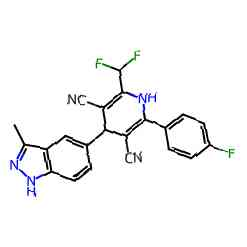 Cc1n[nH]c2ccc(C3C(C#N)=C(c4ccc(F)cc4)NC(C(F)F)=C3C#N)cc12